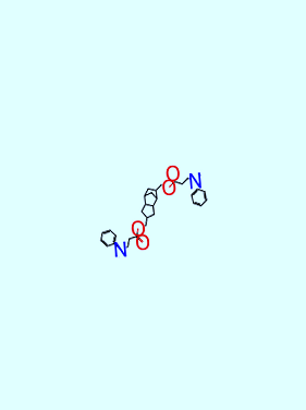 CN(CCC(=O)OCC1CC2C3CC(COC(=O)CCN(C)c4ccccc4)C(C3)C2C1)c1ccccc1